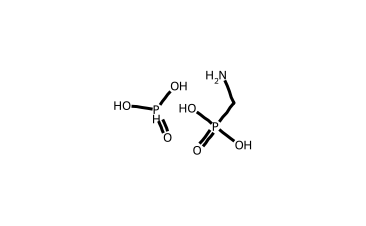 NCP(=O)(O)O.O=[PH](O)O